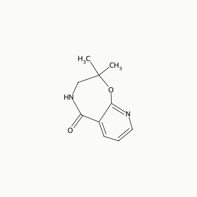 CC1(C)CNC(=O)c2cccnc2O1